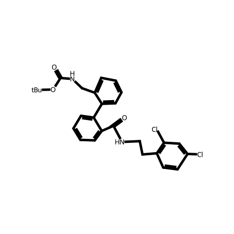 CC(C)(C)OC(=O)NCc1ccccc1-c1ccccc1C(=O)NCCc1ccc(Cl)cc1Cl